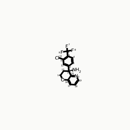 N[C@]1(c2ccc(C(F)(F)F)c(Cl)c2)CCOc2cccnc21